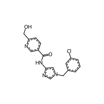 O=C(Nc1cn(Cc2cccc(Cl)c2)cn1)c1ccc(CO)nc1